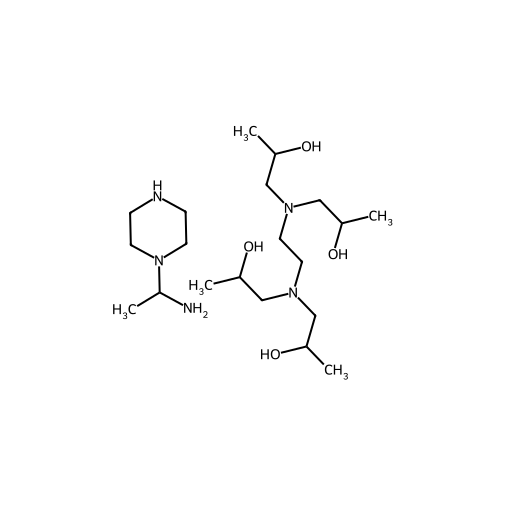 CC(N)N1CCNCC1.CC(O)CN(CCN(CC(C)O)CC(C)O)CC(C)O